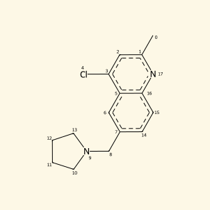 Cc1cc(Cl)c2cc(CN3CCCC3)ccc2n1